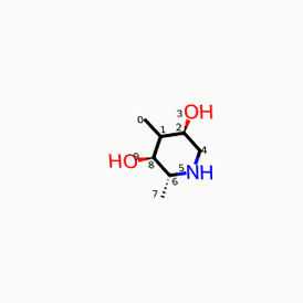 CC1[C@@H](O)CN[C@H](C)[C@H]1O